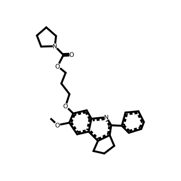 COc1cc2c3c(c(-c4ccccc4)nc2cc1OCCCOC(=O)N1CCCC1)CCC3